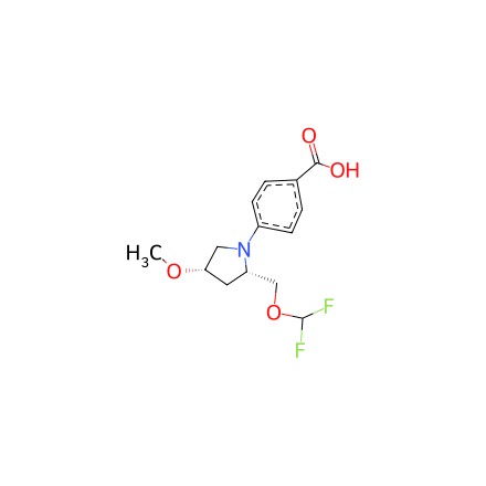 CO[C@H]1C[C@@H](COC(F)F)N(c2ccc(C(=O)O)cc2)C1